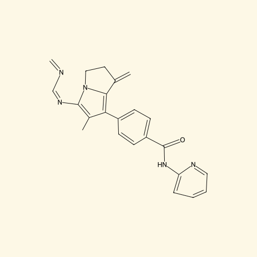 C=N/C=N\c1c(C)c(-c2ccc(C(=O)Nc3ccccn3)cc2)c2n1CCC2=C